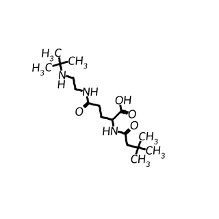 CC(C)(C)CC(=O)NC(CCC(=O)NCCNC(C)(C)C)C(=O)O